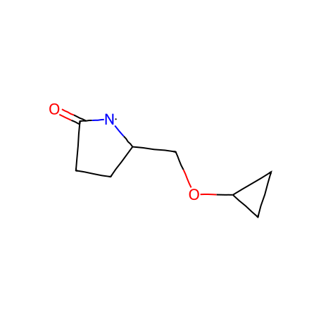 O=C1CCC(COC2CC2)[N]1